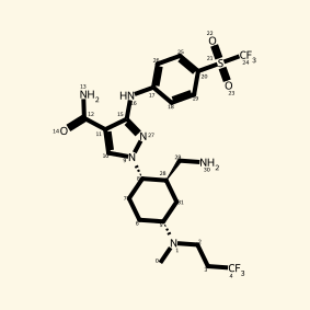 CN(CCC(F)(F)F)[C@@H]1CC[C@H](n2cc(C(N)=O)c(Nc3ccc(S(=O)(=O)C(F)(F)F)cc3)n2)[C@@H](CN)C1